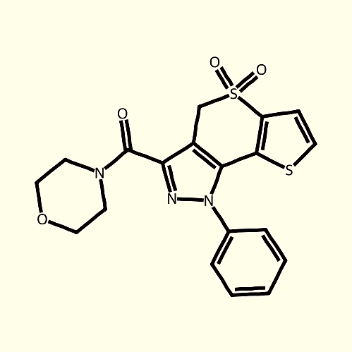 O=C(c1nn(-c2ccccc2)c2c1CS(=O)(=O)c1ccsc1-2)N1CCOCC1